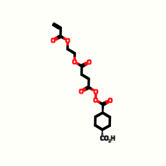 C=CC(=O)OCCOC(=O)CCC(=O)OOC(=O)[C@H]1CC[C@H](C(=O)O)CC1